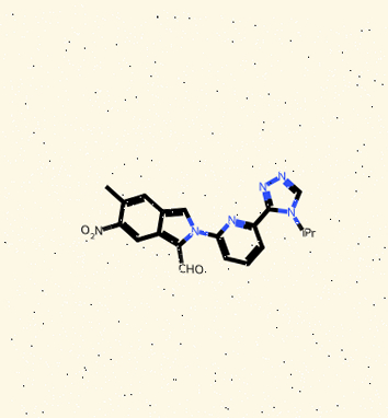 Cc1cc2cn(-c3cccc(-c4nncn4C(C)C)n3)c(C=O)c2cc1[N+](=O)[O-]